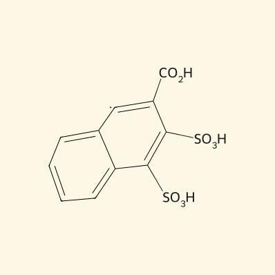 O=C(O)c1[c]c2ccccc2c(S(=O)(=O)O)c1S(=O)(=O)O